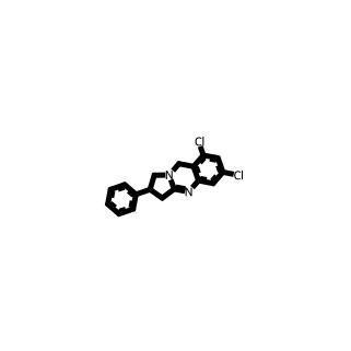 Clc1cc(Cl)c2c(c1)N=C1CC(c3ccccc3)CN1C2